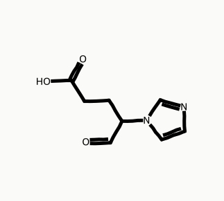 O=CC(CCC(=O)O)n1ccnc1